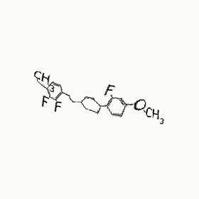 CCOc1ccc(C2CCC(CCc3ccc(CC)c(F)c3F)CC2)c(F)c1